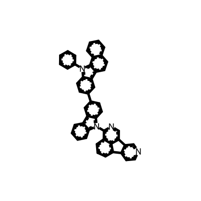 c1ccc(-n2c3ccc(-c4ccc5c(c4)c4ccccc4n5-c4ncc5c6c(cccc46)-c4ccncc4-5)cc3c3ccc4ccccc4c32)cc1